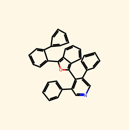 c1ccc(-c2ccccc2-c2oc(-c3c(-c4ccccc4)cncc3-c3ccccc3)c3ccccc23)cc1